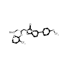 COC[C@H](Cn1nc2ccc(-c3ccc(OC(F)(F)F)cc3)cn2c1=O)Oc1ncccc1C(F)(F)F